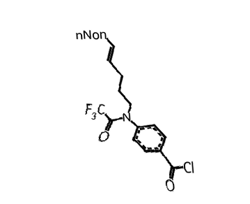 CCCCCCCCCC=CCCCN(C(=O)C(F)(F)F)c1ccc(C(=O)Cl)cc1